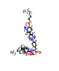 CCCCCCOc1ccc(-c2cnc(-c3ccc(C[C@H](NC(=O)c4ccc(C(C)(C)C)cc4)C(=O)O)cc3)nc2)cn1